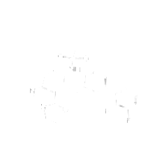 CC(C)n1cnc2c(c1=O)C(Cc1cccc(-c3cccc(F)c3F)c1)C(NS(C)(=O)=O)CC2